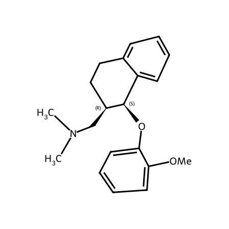 COc1ccccc1O[C@@H]1c2ccccc2CC[C@@H]1CN(C)C